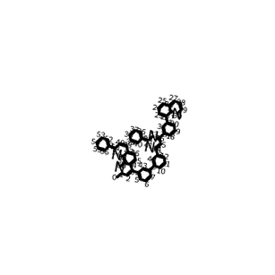 Cc1cc(-c2cccc(-c3cccc(-c4cc(-c5cccc(-c6cccc7cccnc67)c5)nc(-c5ccccc5)n4)c3)c2)c2ccc3ccc(-c4ccccc4)nc3c2n1